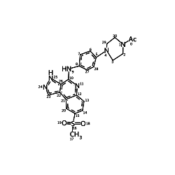 CC(=O)N1CCN(c2ccc(Nc3nc4ccc(S(C)(=O)=O)cc4c4cn[nH]c34)cc2)CC1